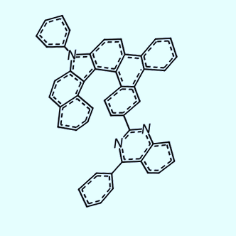 c1ccc(-c2nc(-c3ccc4c(c3)c3ccccc3c3ccc5c(c34)c3c4ccccc4ccc3n5-c3ccccc3)nc3ccccc23)cc1